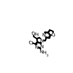 Nc1nc(Cl)c2c(n1)N(Cc1cc3c(cn1)CCO3)CC2CO